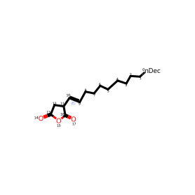 CCCCCCCCCCCCCCCCCC/C=C/C1CC(=O)OC1=O